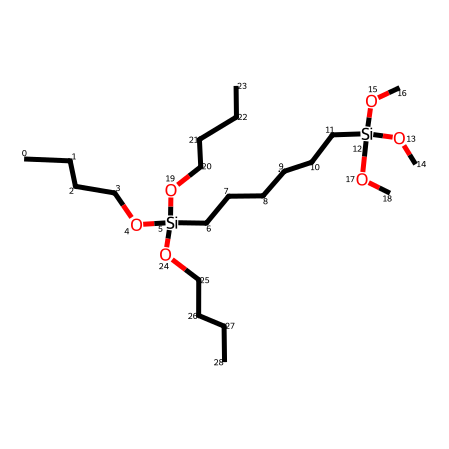 CCCCO[Si](CCC[CH]CC[Si](OC)(OC)OC)(OCCCC)OCCCC